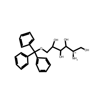 N[C@H](CO)C(O)C(O)C(O)COC(c1ccccc1)(c1ccccc1)c1ccccc1